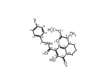 COC(=O)N(C)C1CCCn2c1nc(C(=O)NCc1ccc(F)cc1)c(O)c2=O